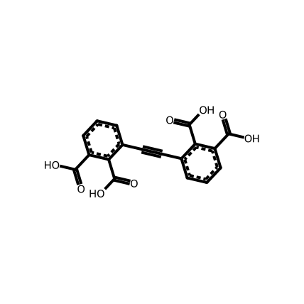 O=C(O)c1cccc(C#Cc2cccc(C(=O)O)c2C(=O)O)c1C(=O)O